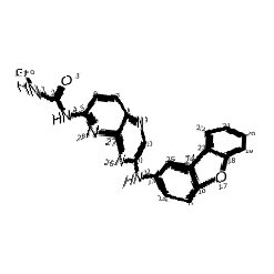 CCNC(=O)Nc1ccc2ncc(Nc3ccc4oc5ccccc5c4c3)nc2n1